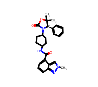 Cn1cc2c(C(=O)NC3CCC(N4C(=O)OC(C)(C)[C@H]4c4ccccc4)CC3)cccc2n1